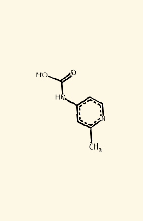 Cc1cc(NC(=O)O)ccn1